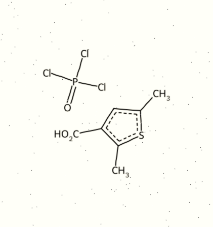 Cc1cc(C(=O)O)c(C)s1.O=P(Cl)(Cl)Cl